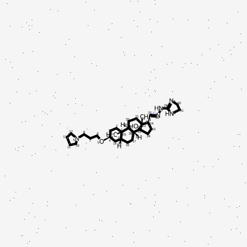 C[C@]12CC[C@H](OCCCN3CCCC3)C[C@H]1CC[C@@H]1[C@@H]2CC[C@]2(C)[C@@H](/C=N/NC3=NCCN3)CC[C@]12O